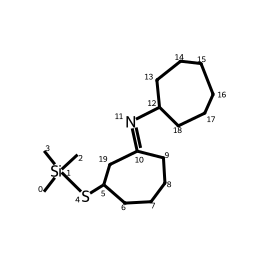 C[Si](C)(C)SC1CCCC/C(=N\C2CCCCCC2)C1